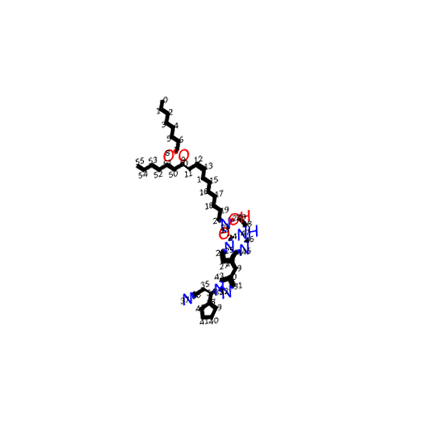 CCCCCCCC(=O)O[C@@H](C/C=C\CCCCCCCN(O)OCn1ccc(Cc2cnn([C@H](CC#N)C3CCCC3)c2)c1/N=C\NCC)CCCCCC